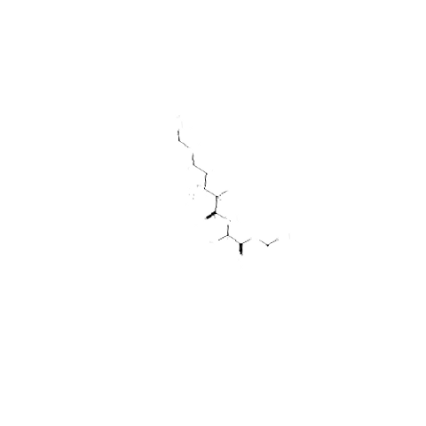 CCOC(=O)C(C)NC(=O)C(O)[C@H](N)CCSCC